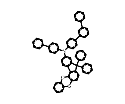 c1ccc(-c2ccc(N(c3ccc(-c4cccc(-c5ccccc5)c4)cc3)c3ccc4c(c3)C(c3ccccc3)(c3ccccc3)c3ccc5c(c3-4)Oc3ccccc3S5)cc2)cc1